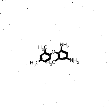 Cc1ccc(Oc2c(C)cc(N)cc2N)c(C)c1